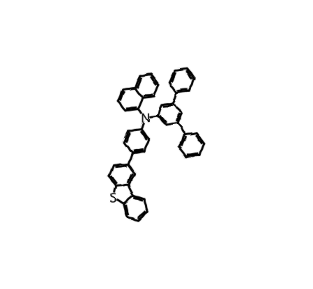 c1ccc(-c2cc(-c3ccccc3)cc(N(c3ccc(-c4ccc5sc6ccccc6c5c4)cc3)c3cccc4ccccc34)c2)cc1